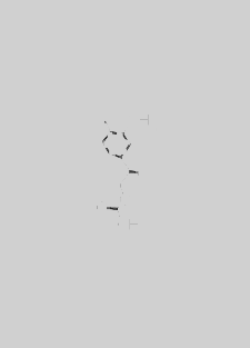 CC(=O)OCC(=O)c1ccc(Cl)c(C)c1